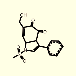 CS(=O)(=O)N1C=C(c2ccccc2)C2C(=O)C(=O)C(CO)=CC21